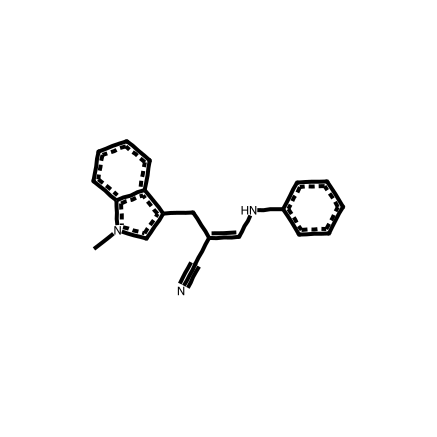 Cn1cc(C/C(C#N)=C\Nc2ccccc2)c2ccccc21